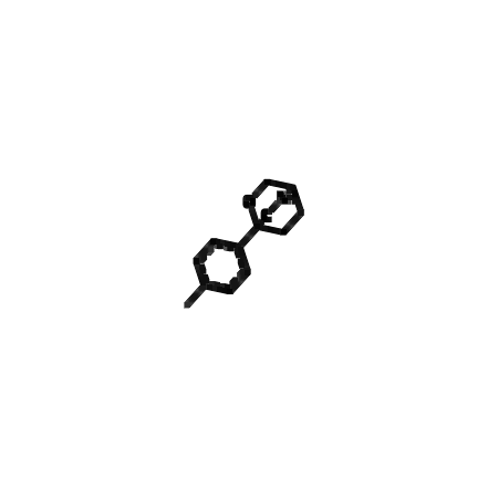 Cc1ccc(C23CCC(CO2)NC3)cc1